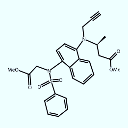 C#CCN(c1ccc(N(CC(=O)OC)S(=O)(=O)c2ccccc2)c2ccccc12)[C@@H](C)CC(=O)OC